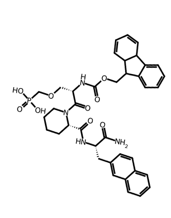 NC(=O)[C@H](Cc1ccc2ccccc2c1)NC(=O)[C@@H]1CCCCN1C(=O)[C@H](COCP(=O)(O)O)NC(=O)OCC1c2ccccc2C2C=CC=CC21